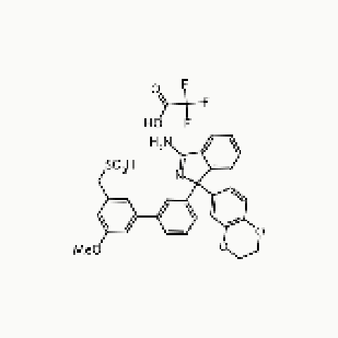 COc1cc(CS(=O)(=O)O)cc(-c2cccc(C3(c4ccc5c(c4)OCCO5)N=C(N)c4ccccc43)c2)c1.O=C(O)C(F)(F)F